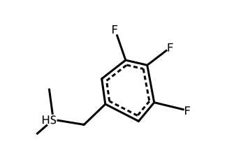 C[SH](C)Cc1cc(F)c(F)c(F)c1